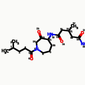 CC(C)CCC(=O)N1CCCC(NC(=O)C[C@@H](C)CC(N)=O)C(=O)C1